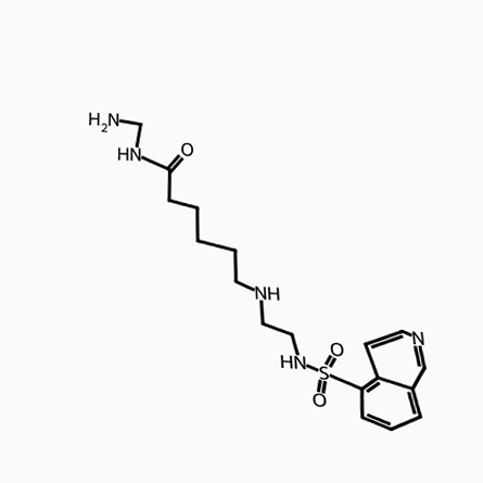 NCNC(=O)CCCCCNCCNS(=O)(=O)c1cccc2cnccc12